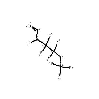 C=CC(F)C(F)(F)C(F)(F)CC(F)(F)F